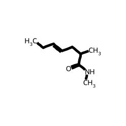 CC/C=C/CC(C)C(=O)NC